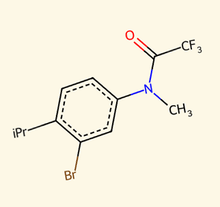 CC(C)c1ccc(N(C)C(=O)C(F)(F)F)cc1Br